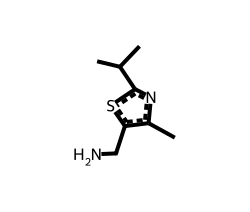 Cc1nc(C(C)C)sc1CN